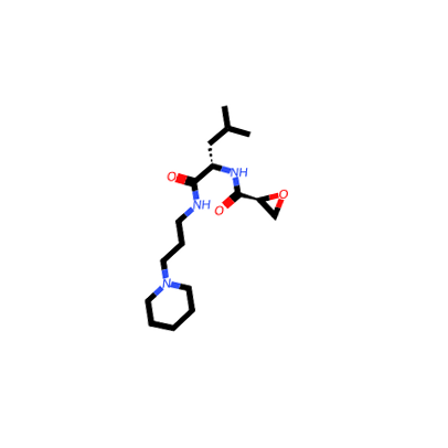 CC(C)C[C@H](NC(=O)[C@@H]1CO1)C(=O)NCCCN1CCCCC1